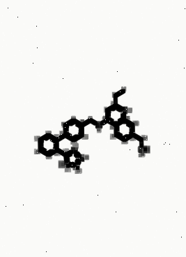 CCc1cc(OCc2ccc(-c3ccccc3-c3nnn[nH]3)cc2)c2ccc(CO)cc2n1